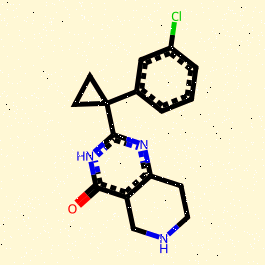 O=c1[nH]c(C2(c3cccc(Cl)c3)CC2)nc2c1CNCC2